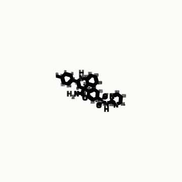 Cc1ccc(C2=CC(C(N)=O)(c3ccc(S(=O)(=O)Nc4ncccn4)cc3)c3ccccc3N2)cc1